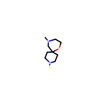 CN1CCOC2(CCN(S)CC2)C1